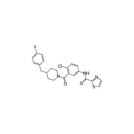 O=C(Nc1ccc(Cl)c(C(=O)N2CCC(Cc3ccc(F)cc3)CC2)c1)c1nccs1